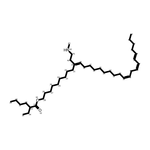 CCCC/C=C/C=C\C/C=C\CCCCCCCC/C=C(\CCCCCCCCCOC(=O)C(CC)CCCC)CCNC